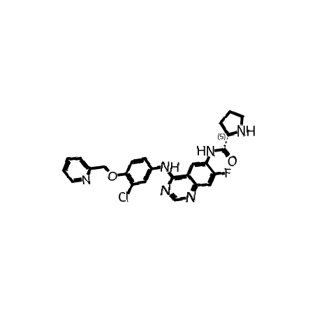 O=C(Nc1cc2c(Nc3ccc(OCc4ccccn4)c(Cl)c3)ncnc2cc1F)[C@@H]1CCCN1